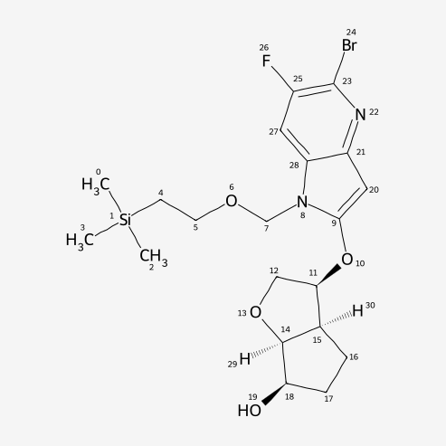 C[Si](C)(C)CCOCn1c(O[C@@H]2CO[C@H]3[C@@H]2CC[C@H]3O)cc2nc(Br)c(F)cc21